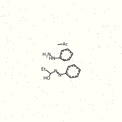 CC(C)=O.CCC(O)N=Nc1ccccc1.NNc1ccccc1